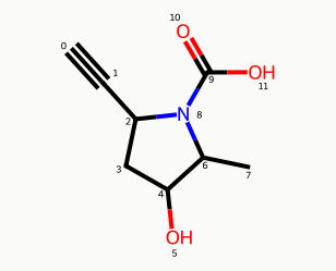 C#CC1CC(O)C(C)N1C(=O)O